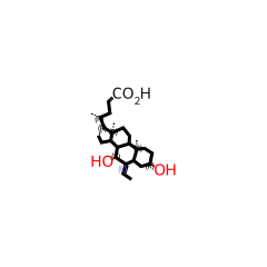 C/C=C1\C2C[C@H](O)CC[C@]2(C)C2CC[C@@]3(C)C(CC[C@@H]3[C@H](C)CCC(=O)O)C2[C@@H]1O